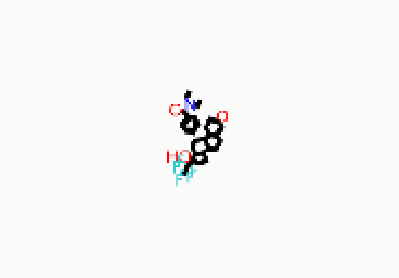 CCN(CC)C(=O)c1ccc([C@H]2C[C@@]3(C)C(CC[C@]3(O)C(F)(F)C(F)(F)F)C3CCC4=CC(=O)CCC4=C32)cc1